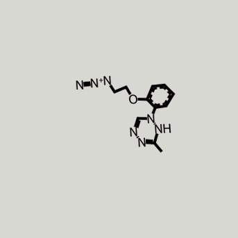 CC1=NN=CN(c2ccccc2OCCN=[N+]=[N-])N1